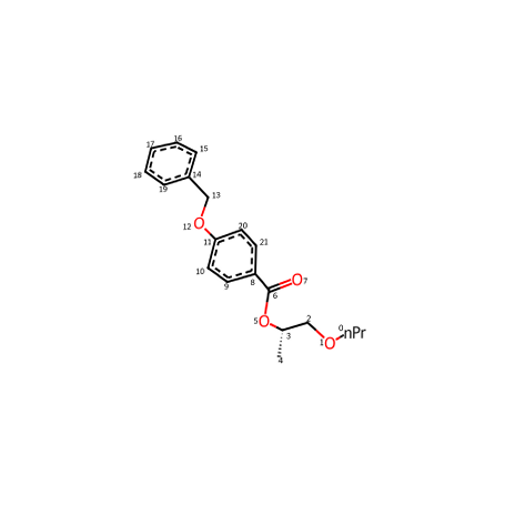 CCCOC[C@H](C)OC(=O)c1ccc(OCc2ccccc2)cc1